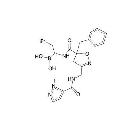 CC(C)CC(NC(=O)C1(Cc2ccccc2)CC(CNC(=O)c2ccnn2C)=NO1)B(O)O